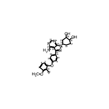 COc1cccc(Oc2ccc(-c3nn(C4CCC(O)C(O)C4)c4ncnc(N)c34)cc2)c1F